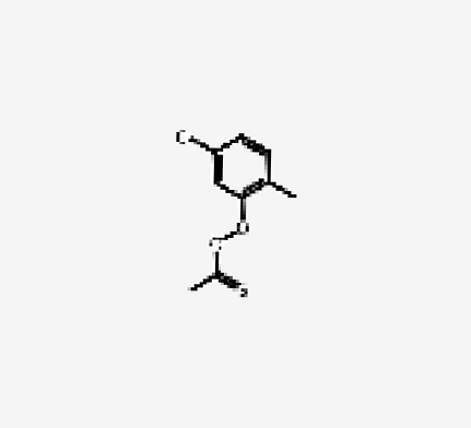 CC(=S)OOc1cc(Cl)ccc1C